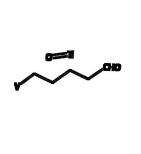 O=CCCC[CH2][V].[O]=[Tl]